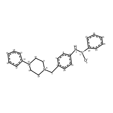 [O-][S+](Nc1ccc(CN2CCN(c3ccccc3)CC2)cc1)c1ccccc1